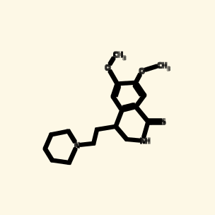 COc1cc2c(cc1OC)C(CCN1CCCCC1)CNC2=S